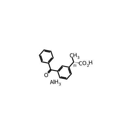 C[C@H](C(=O)O)c1cccc(C(=O)c2ccccc2)c1.[AlH3]